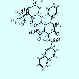 CC(C)CN(CC(O)C(Cc1ccccc1)C(C(N)=O)C(NC(=O)c1ccc2ccccc2n1)C(N)=O)C(=O)NC(C)(C)C